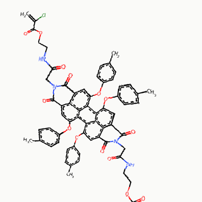 C=C(Cl)C(=O)OCCNC(=O)CN1C(=O)c2cc(Oc3ccc(C)cc3)c3c4c(Oc5ccc(C)cc5)cc5c6c(cc(Oc7ccc(C)cc7)c(c7c(Oc8ccc(C)cc8)cc(c2c37)C1=O)c64)C(=O)N(CC(=O)NCCOC(=O)C(=C)Cl)C5=O